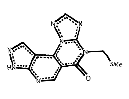 CSCn1c(=O)c2cnc3[nH]ncc3c2n2ncnc12